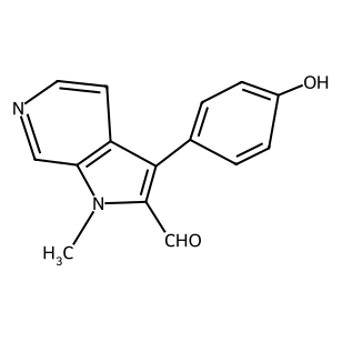 Cn1c(C=O)c(-c2ccc(O)cc2)c2ccncc21